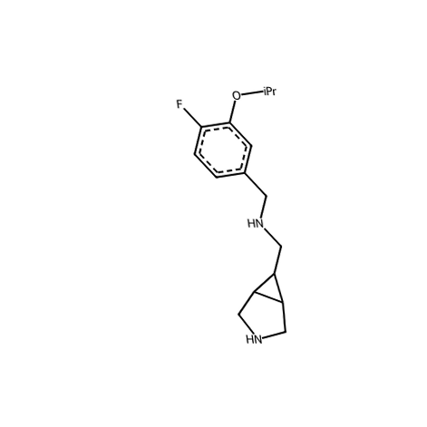 CC(C)Oc1cc(CNCC2C3CNCC23)ccc1F